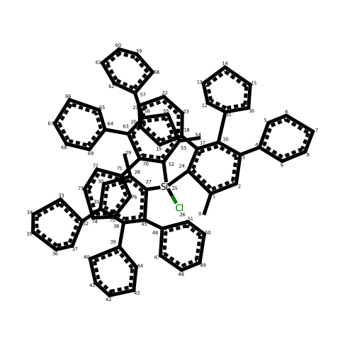 Cc1cc(-c2ccccc2)c(-c2ccccc2)c(-c2ccccc2)c1[Si](Cl)(c1c(C)cc(-c2ccccc2)c(-c2ccccc2)c1-c1ccccc1)c1c(C)cc(-c2ccccc2)c(-c2ccccc2)c1-c1ccccc1